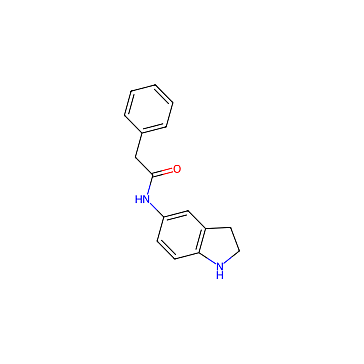 O=C(Cc1ccccc1)Nc1ccc2c(c1)CCN2